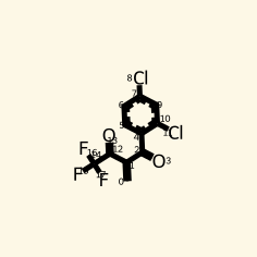 C=C(C(=O)c1ccc(Cl)cc1Cl)C(=O)C(F)(F)F